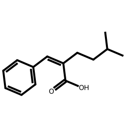 CC(C)CCC(=Cc1ccccc1)C(=O)O